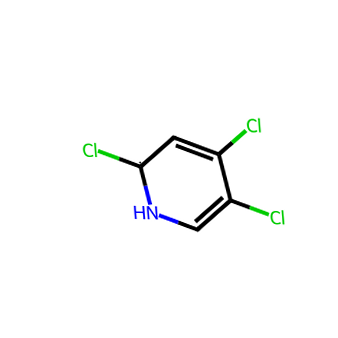 Cl[C]1C=C(Cl)C(Cl)=CN1